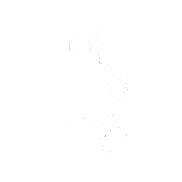 CON(C)[C@]1(c2ncc(CCC(=O)O)s2)CCCN1C(=O)Cc1cc(Cl)c(NC(=O)c2cn(C)c3ccccc23)cc1F